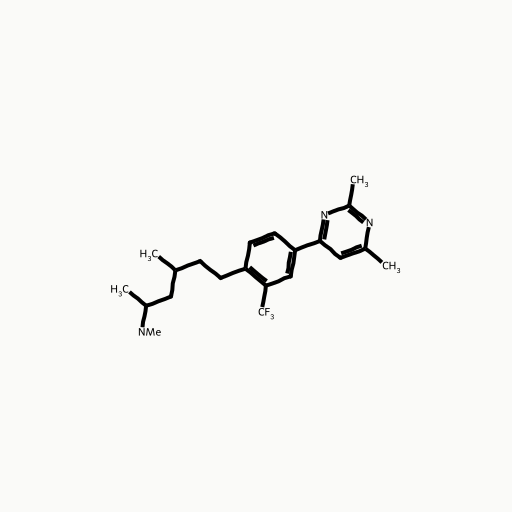 CNC(C)CC(C)CCc1ccc(-c2cc(C)nc(C)n2)cc1C(F)(F)F